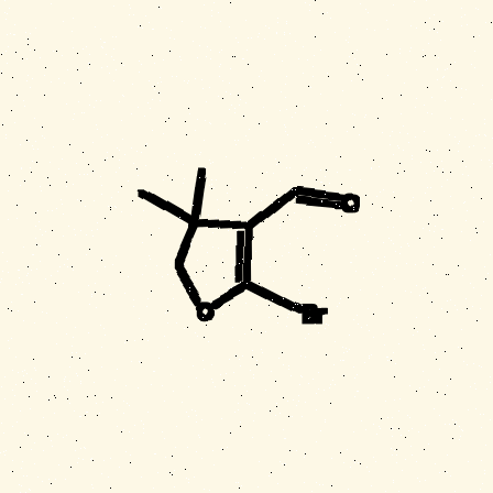 CC1(C)COC(Br)=C1C=O